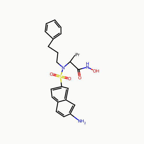 CC(C)C(C(=O)NO)N(CCCc1ccccc1)S(=O)(=O)c1ccc2ccc(N)cc2c1